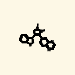 CN1CC(c2csc3ccccc23)=C(c2ccc3nccnc3c2)N1C